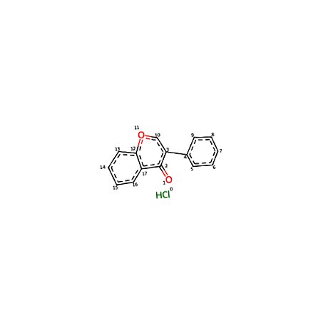 Cl.O=c1c(-c2ccccc2)coc2ccccc12